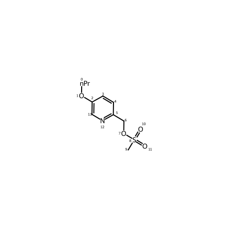 CCCOc1ccc(COS(C)(=O)=O)nc1